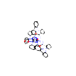 c1ccc(-n2c3ccccc3c3ccccc32)c(-c2cc(-c3ccccc3-n3c4ccccc4c4ccccc43)nc(-c3nc(-c4ccccc4-n4c5ccccc5c5ccccc54)cc(-c4ccccc4-n4c5ccccc5c5ccccc54)n3)n2)c1